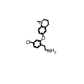 CN1CCCc2cc(Oc3cc(Cl)ccc3CCN)ccc21